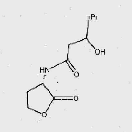 CCCC(O)CC(=O)N[C@H]1CCOC1=O